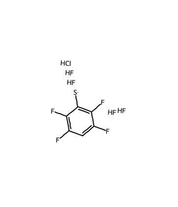 Cl.F.F.F.F.Fc1cc(F)c(F)c([S])c1F